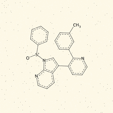 Cc1cccc(-c2ncccc2-c2cn([S+]([O-])c3ccccc3)c3ncccc23)c1